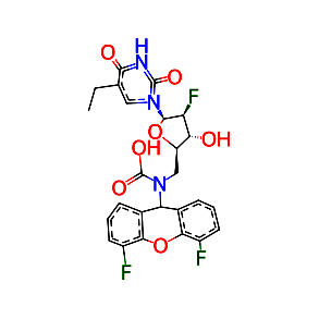 CCc1cn([C@@H]2O[C@H](CN(C(=O)O)C3c4cccc(F)c4Oc4c(F)cccc43)[C@@H](O)[C@@H]2F)c(=O)[nH]c1=O